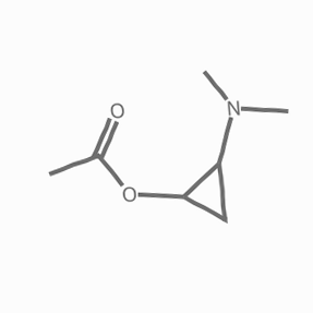 CC(=O)OC1CC1N(C)C